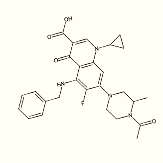 CC(=O)N1CCN(c2cc3c(c(NCc4ccccc4)c2F)c(=O)c(C(=O)O)cn3C2CC2)CC1C